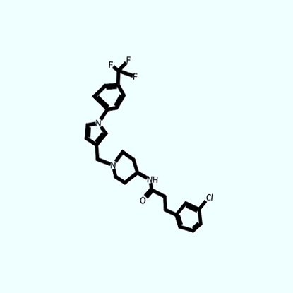 O=C(CCc1cccc(Cl)c1)NC1CCN(Cc2ccn(-c3ccc(C(F)(F)F)cc3)c2)CC1